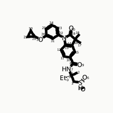 CC[C@](C)(C[SH](=O)=O)NC(=O)c1ccc2c(c1)C(C)(C)C(=O)N2c1cccc(OC2CC2)c1